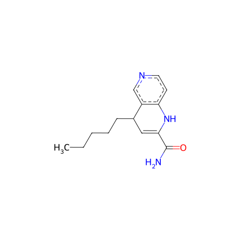 CCCCCC1C=C(C(N)=O)Nc2ccncc21